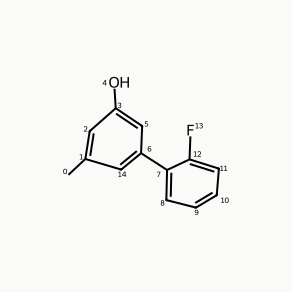 Cc1cc(O)cc(-c2ccccc2F)c1